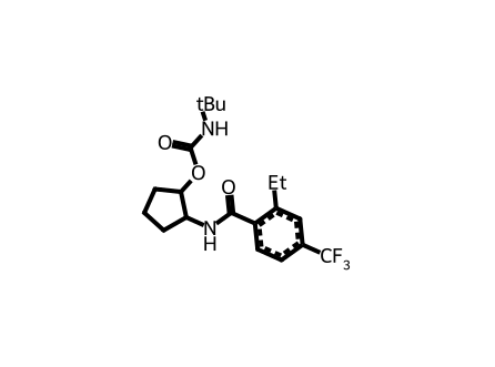 CCc1cc(C(F)(F)F)ccc1C(=O)NC1CCCC1OC(=O)NC(C)(C)C